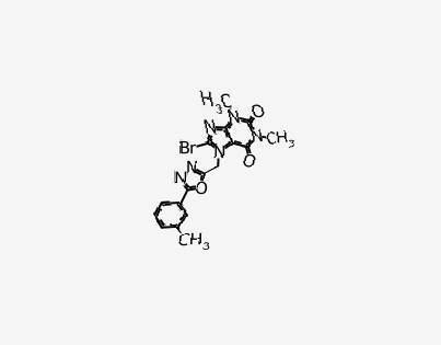 Cc1cccc(-c2nnc(Cn3c(Br)nc4c3c(=O)n(C)c(=O)n4C)o2)c1